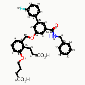 O=C(O)CCCOc1cccc(COc2cc(C(=O)NCc3ccccc3)cc(-c3cccc(F)c3)c2)c1CCC(=O)O